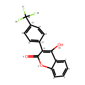 O=c1oc2ccccc2c(O)c1-c1ccc(C(F)(F)F)cc1